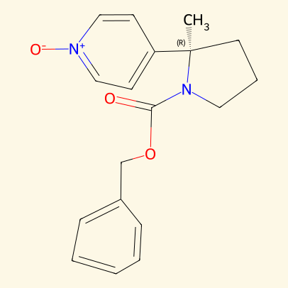 C[C@]1(c2cc[n+]([O-])cc2)CCCN1C(=O)OCc1ccccc1